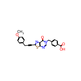 COc1ccc(CC#Cc2nc3c(=O)n(Cc4ccc(C(=O)O)cc4)cnc3s2)cc1